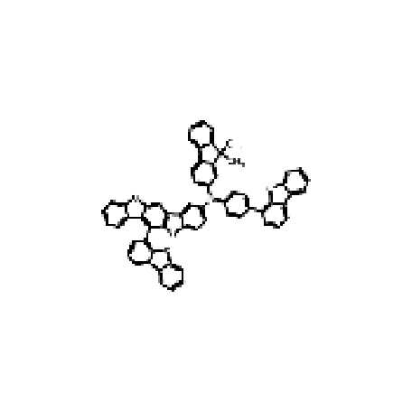 CC1(C)c2ccccc2-c2ccc(N(c3ccc(-c4cccc5c4oc4ccccc45)cc3)c3ccc4oc5c(-c6cccc7c6sc6ccccc67)c6c(cc5c4c3)oc3ccccc36)cc21